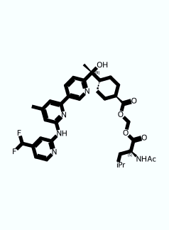 CC(=O)N[C@@H](CC(C)C)C(=O)OCOC(=O)[C@H]1CC[C@H]([C@@](C)(O)c2ccc(-c3cc(C)cc(Nc4cc(C(F)F)ccn4)n3)cn2)CC1